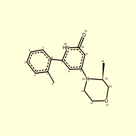 Cc1ccccc1-c1cc(N2CCOC[C@@H]2C)cc(=O)[nH]1